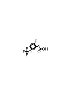 O=C(O)Nc1cc(OC(F)(F)F)ccc1F